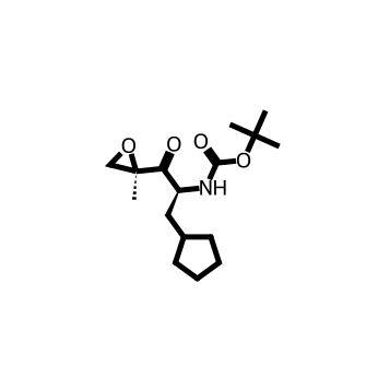 CC(C)(C)OC(=O)N[C@@H](CC1CCCC1)C(=O)[C@@]1(C)CO1